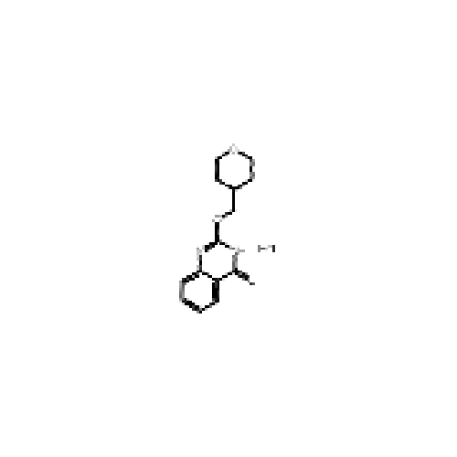 Cl.O=c1[nH]c(OCC2CCOCC2)nc2ccccc12